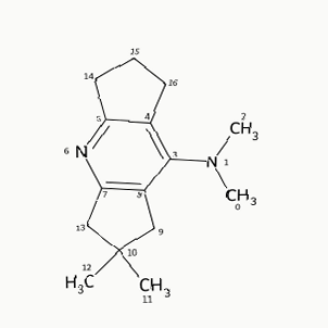 CN(C)c1c2c(nc3c1CC(C)(C)C3)CCC2